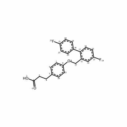 O=C(O)CCc1ccc(OCc2cc(F)ccc2-c2ccc(F)cc2)cc1